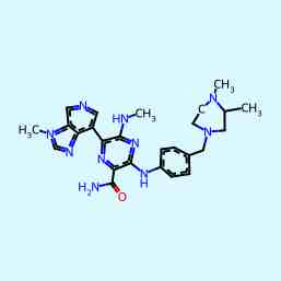 CNc1nc(Nc2ccc(CN3CCN(C)C(C)C3)cc2)c(C(N)=O)nc1-c1cncc2c1ncn2C